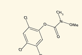 CON(C)C(=O)Oc1cc(Cl)c(Cl)cc1Cl